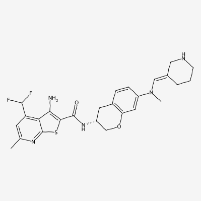 Cc1cc(C(F)F)c2c(N)c(C(=O)N[C@H]3COc4cc(N(C)/C=C5\CCCNC5)ccc4C3)sc2n1